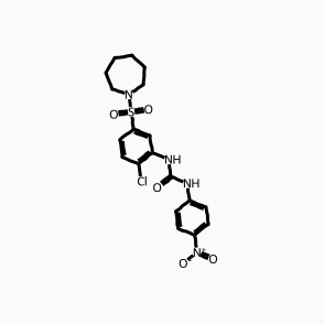 O=C(Nc1ccc([N+](=O)[O-])cc1)Nc1cc(S(=O)(=O)N2CCCCCC2)ccc1Cl